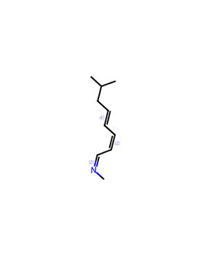 C\N=C/C=C\C=C\CC(C)C